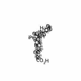 CC(C)C1=C2[C@H]3CC[C@@H]4[C@@]5(C)CC[C@H](OC(=O)[C@H]6C[C@@H](C(=O)O)C6(C)C)C(C)(C)C5CC[C@@]4(C)[C@]3(C)CC[C@@]2(NC(=O)C(C)(C)NC(=O)c2ccc(S(C)(=O)=O)cc2)CC1=O